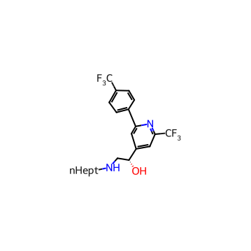 CCCCCCCNC[C@@H](O)c1cc(-c2ccc(C(F)(F)F)cc2)nc(C(F)(F)F)c1